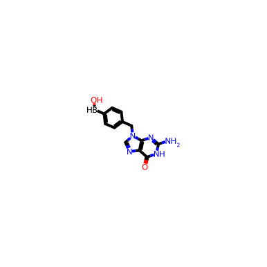 Nc1nc2c(ncn2Cc2ccc(BO)cc2)c(=O)[nH]1